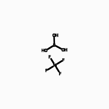 OB(O)O.[F][Ni]([F])([F])[F]